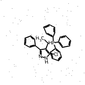 CC(c1c(-c2ccccc2)n[nH]c1Cl)[PH](c1ccccc1)(c1ccccc1)c1ccccc1